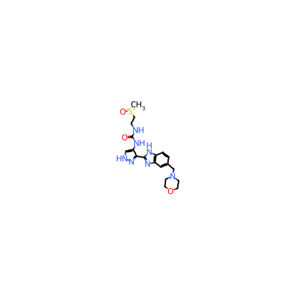 C[S+]([O-])CCNC(=O)Nc1c[nH]nc1-c1nc2cc(CN3CCOCC3)ccc2[nH]1